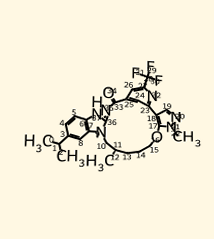 CC(C)c1ccc2c(c1)N1C[C@H](C)CCCOc3c(cnn3C)-c3cc(cc(C(F)(F)F)n3)C(=O)/N=C/1N2